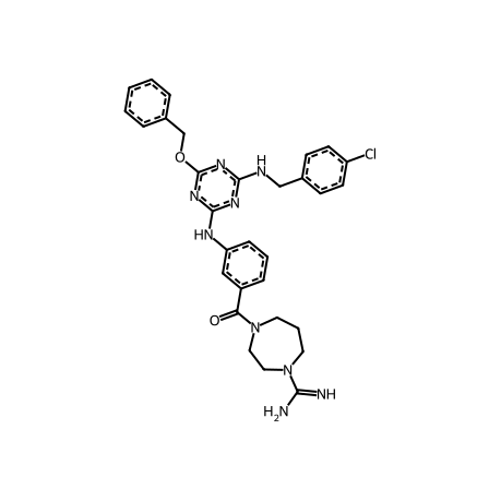 N=C(N)N1CCCN(C(=O)c2cccc(Nc3nc(NCc4ccc(Cl)cc4)nc(OCc4ccccc4)n3)c2)CC1